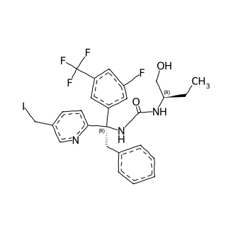 CC[C@H](CO)NC(=O)N[C@](Cc1ccccc1)(c1cc(F)cc(C(F)(F)F)c1)c1ccc(CI)cn1